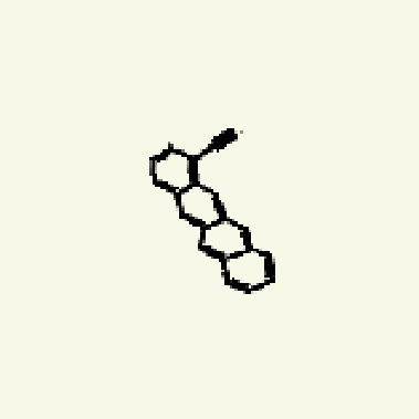 [C]#Cc1[c]ccc2cc3cc4ccccc4cc3cc12